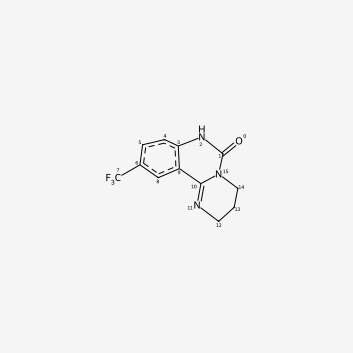 O=C1Nc2ccc(C(F)(F)F)cc2C2=NCCCN12